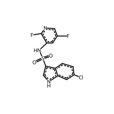 O=S(=O)(Nc1cc(F)cnc1F)c1c[nH]c2cc(Cl)ccc12